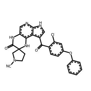 N#CN1CCC2(C1)Nc1c(cnc3[nH]cc(C(=O)c4ccc(Oc5ccccc5)cc4Cl)c13)NC2=O